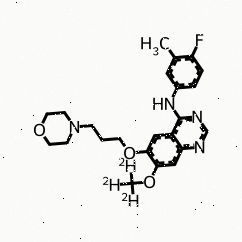 [2H]C([2H])([2H])Oc1cc2ncnc(Nc3ccc(F)c(C)c3)c2cc1OCCCN1CCOCC1